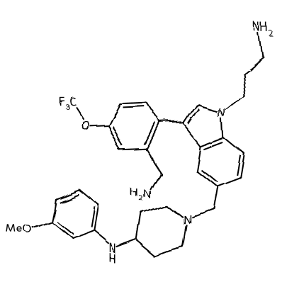 COc1cccc(NC2CCN(Cc3ccc4c(c3)c(-c3ccc(OC(F)(F)F)cc3CN)cn4CCCN)CC2)c1